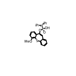 COc1cccc2c1Sc1ccccc1C=C2OP(=O)(O)N(C(C)C)C(C)C